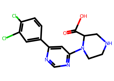 O=C(O)C1CNCCN1c1cc(-c2ccc(Cl)c(Cl)c2)ncn1